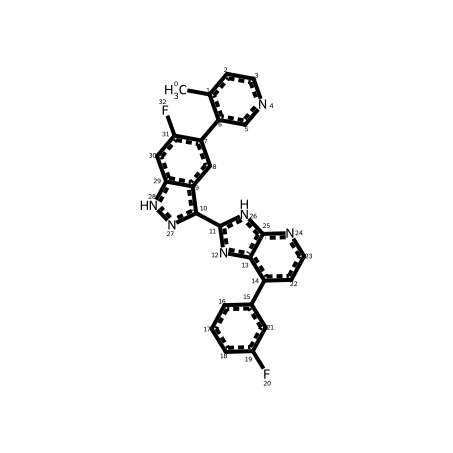 Cc1ccncc1-c1cc2c(-c3nc4c(-c5cccc(F)c5)ccnc4[nH]3)n[nH]c2cc1F